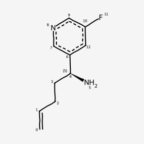 C=CCC[C@H](N)c1cncc(F)c1